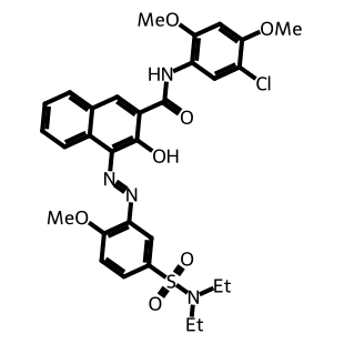 CCN(CC)S(=O)(=O)c1ccc(OC)c(N=Nc2c(O)c(C(=O)Nc3cc(Cl)c(OC)cc3OC)cc3ccccc23)c1